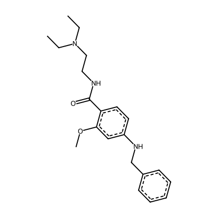 CCN(CC)CCNC(=O)c1ccc(NCc2ccccc2)cc1OC